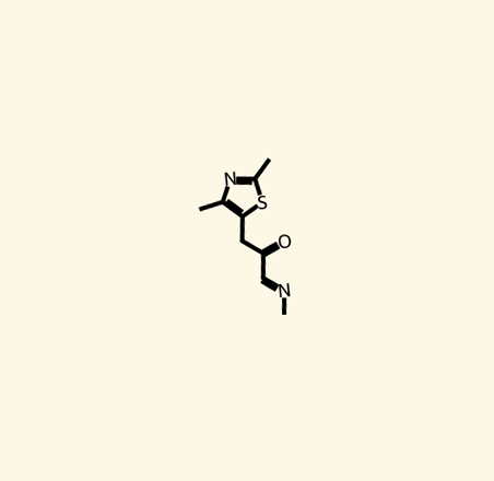 CN=CC(=O)Cc1sc(C)nc1C